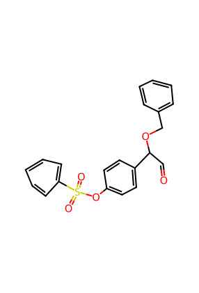 O=CC(OCc1ccccc1)c1ccc(OS(=O)(=O)c2ccccc2)cc1